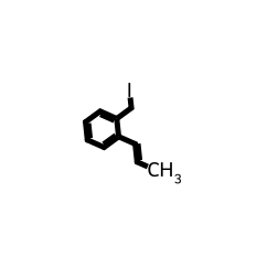 C/C=C/c1ccccc1CI